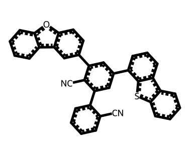 N#Cc1ccccc1-c1cc(-c2cccc3c2sc2ccccc23)cc(-c2ccc3oc4ccccc4c3c2)c1C#N